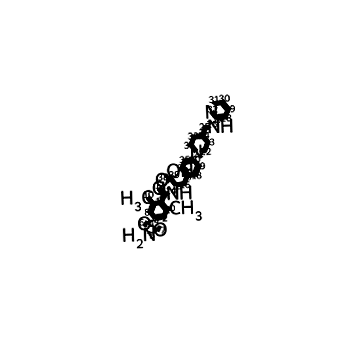 Cc1cc(S(N)(=O)=O)cc(C)c1C(=O)NC(Cc1ccc(N2CCC(CNc3ccccn3)CC2)cc1)C(=O)O